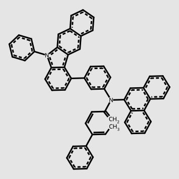 C=C(/C=C\C(=C/C)c1ccccc1)N(c1cccc(-c2cccc3c2c2cc4ccccc4cc2n3-c2ccccc2)c1)c1cc2ccccc2c2ccccc12